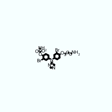 NOOSOc1ccc(N(c2ccc(OS(N)(=O)=O)c(Br)c2)n2cncn2)cc1Br